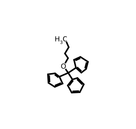 CCCCOC(c1ccccc1)(c1ccccc1)c1ccccc1